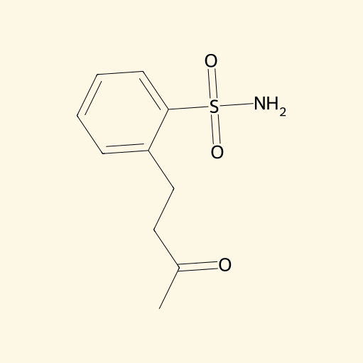 CC(=O)CCc1ccccc1S(N)(=O)=O